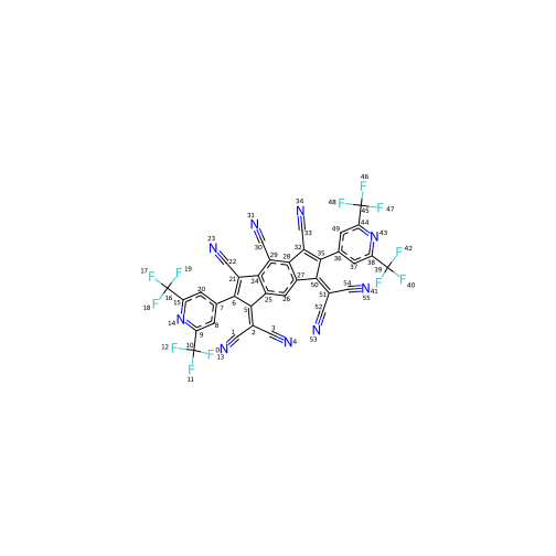 N#CC(C#N)=C1C(c2cc(C(F)(F)F)nc(C(F)(F)F)c2)=C(C#N)c2c1cc1c(c2C#N)C(C#N)=C(c2cc(C(F)(F)F)nc(C(F)(F)F)c2)C1=C(C#N)C#N